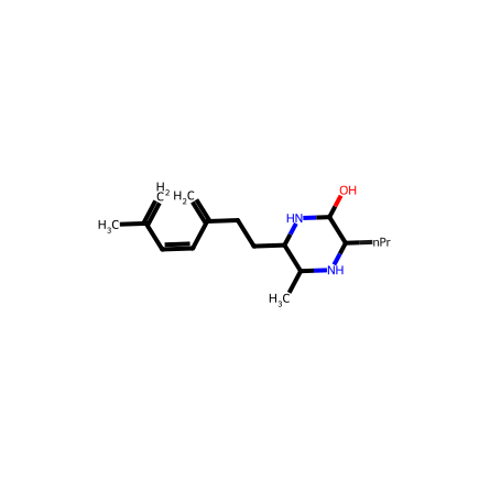 C=C(C)/C=C\C(=C)CCC1NC(O)C(CCC)NC1C